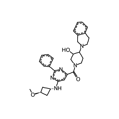 CO[C@H]1C[C@H](Nc2cc(C(=O)N3CCC(N4CCc5ccccc5C4)C(O)C3)nc(-c3ccccc3)n2)C1